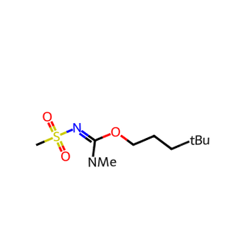 CN/C(=N\S(C)(=O)=O)OCCCC(C)(C)C